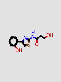 O=C(CCO)Nc1nc(-c2ccccc2O)cs1